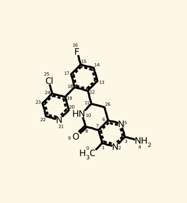 Cc1nc(N)nc2c1C(=O)NC(c1ccc(F)cc1-c1cnccc1Cl)C2